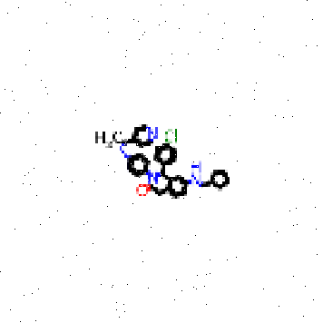 CC(Nc1ccc(N2C(=O)Cc3ccc(NCC4CCCC4)cc3C2c2ccc(Cl)cc2)cc1)c1ccncc1